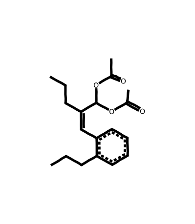 CCCC(=Cc1ccccc1CCC)C(OC(C)=O)OC(C)=O